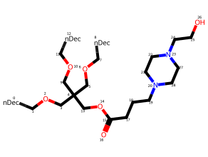 CCCCCCCCCCCOCC(COCCCCCCCCCCC)(COCCCCCCCCCCC)COC(=O)CCCN1CCN(CCO)CC1